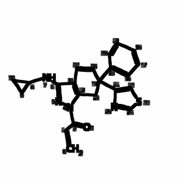 C=CC(=O)n1nc(NC2CC2)c2c1CC(c1ccccc1)(c1cscn1)C=C2